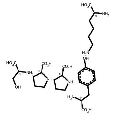 NCCCC[C@H](N)C(=O)O.N[C@@H](CO)C(=O)O.N[C@@H](Cc1ccc(O)cc1)C(=O)O.O=C(O)[C@@H]1CCCN1.O=C(O)[C@@H]1CCCN1